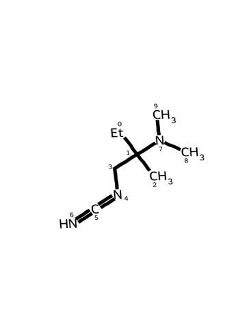 CCC(C)(CN=C=N)N(C)C